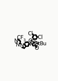 CC(C)(C)OC(=O)CN(c1ccc2c(ccn2-c2cc(C(F)(F)F)ncn2)c1)S(=O)(=O)c1cc(Cl)cc(Cl)c1